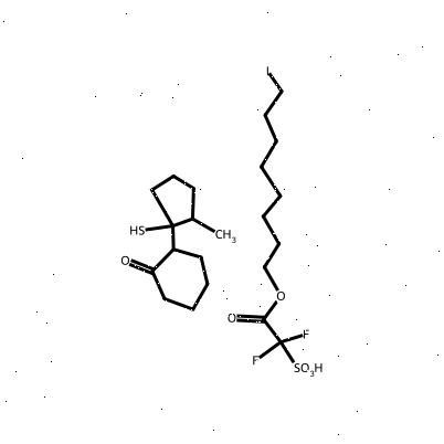 CC1CCCC1(S)C1CCCCC1=O.O=C(OCCCCCCCCI)C(F)(F)S(=O)(=O)O